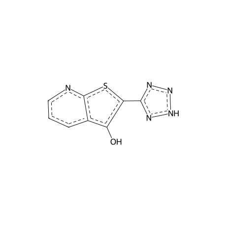 Oc1c(-c2nn[nH]n2)sc2ncccc12